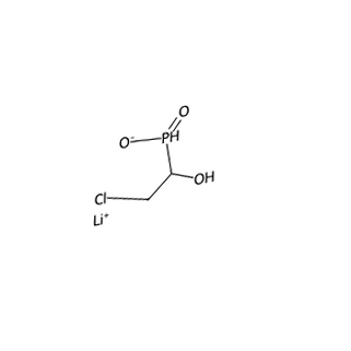 O=[PH]([O-])C(O)CCl.[Li+]